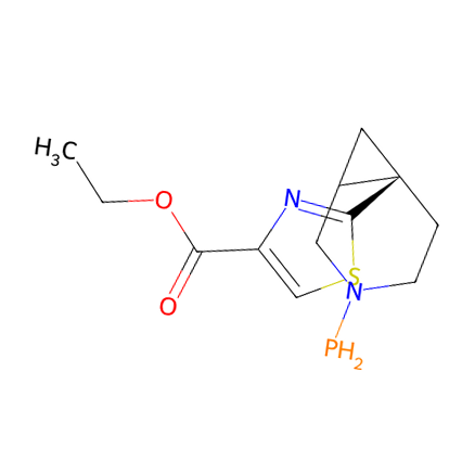 CCOC(=O)c1csc([C@@]23CCN(P)CC2C3)n1